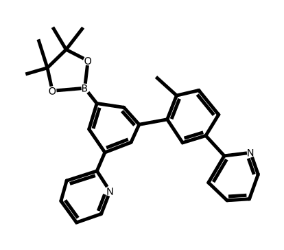 Cc1ccc(-c2ccccn2)cc1-c1cc(B2OC(C)(C)C(C)(C)O2)cc(-c2ccccn2)c1